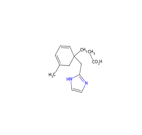 CC(=O)O.CC1=CC=CC(C)(Cc2ncc[nH]2)C1